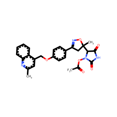 Cc1cc(COc2ccc(C3=NOC(C)(C4C(=O)NC(=O)N4OC(=O)C(F)(F)F)C3)cc2)c2ccccc2n1